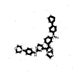 CC(=O)N(c1ccc(-c2ccccc2)cc1)c1cccc(-c2nc3sccn3c2-c2ccnc(Nc3ccc(N4CCOCC4)cc3)n2)c1